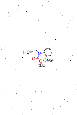 C#CCN(C(=O)OC(C)(C)C)c1ccccc1OC